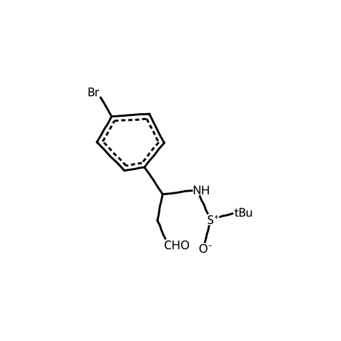 CC(C)(C)[S+]([O-])NC(CC=O)c1ccc(Br)cc1